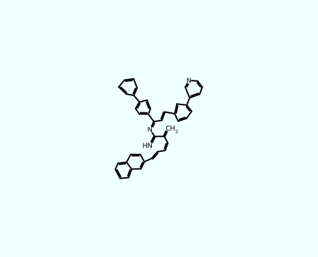 C=C(/C=C\C=C\c1ccc2ccccc2c1)C(=N)/N=C(\C=C\c1cccc(-c2cccnc2)c1)c1ccc(-c2ccccc2)cc1